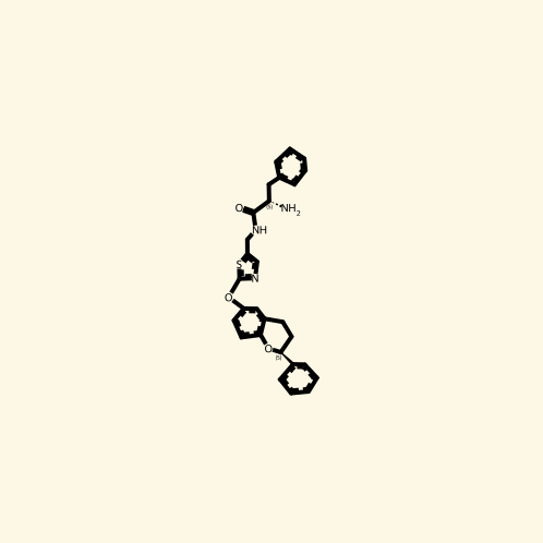 N[C@@H](Cc1ccccc1)C(=O)NCc1cnc(Oc2ccc3c(c2)CC[C@@H](c2ccccc2)O3)s1